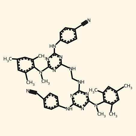 Cc1cc(C)c(N(C)c2nc(NCNc3nc(Nc4ccc(C#N)cc4)nc(N(C)c4c(C)cc(C)cc4C)n3)nc(Nc3ccc(C#N)cc3)n2)c(C)c1